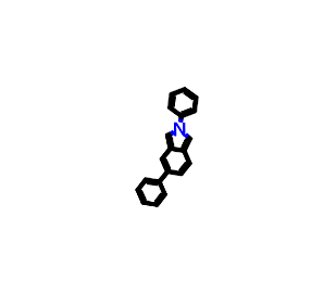 c1ccc(-c2ccc3cn(-c4ccccc4)cc3c2)cc1